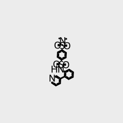 CN(C)S(=O)(=O)c1ccc(S(=O)(=O)Nc2ccccc2-c2cccnc2)cc1